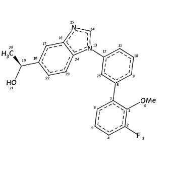 COc1c(F)cccc1-c1cccc(-n2cnc3cc([C@H](C)O)ccc32)c1